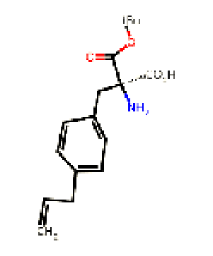 C=CCc1ccc(C[C@@](N)(C(=O)O)C(=O)OC(C)(C)C)cc1